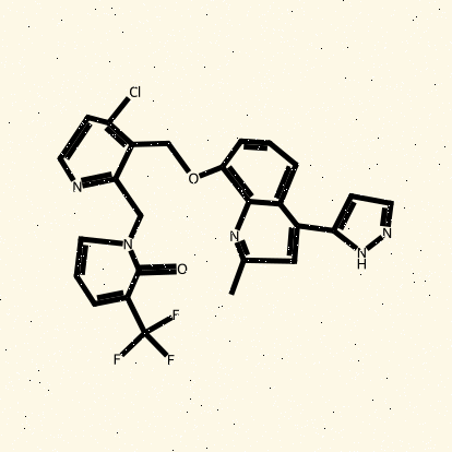 Cc1cc(-c2ccn[nH]2)c2cccc(OCc3c(Cl)ccnc3Cn3cccc(C(F)(F)F)c3=O)c2n1